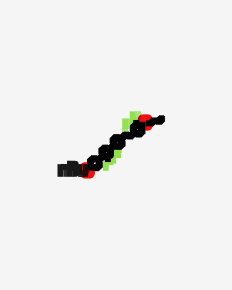 C=CCCOc1ccc(/C=C/c2ccc(-c3ccc(C4CCC(OCCCC)CC4)c(F)c3F)cc2)c(F)c1F